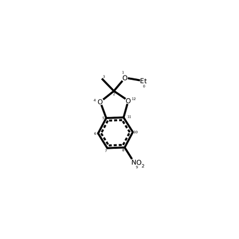 CCOC1(C)Oc2ccc([N+](=O)[O-])cc2O1